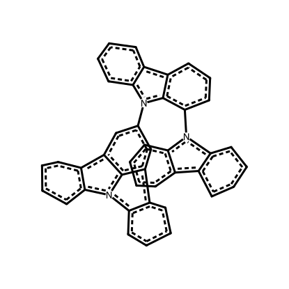 c1ccc2c(c1)c1ccccc1n2-c1cccc2c3ccccc3n(-c3cc4c5ccccc5n5c6ccccc6c(c3)c45)c12